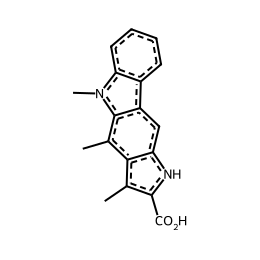 Cc1c(C(=O)O)[nH]c2cc3c4ccccc4n(C)c3c(C)c12